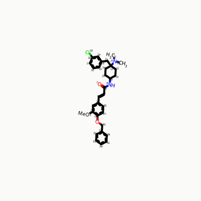 COc1cc(/C=C/C(=O)NC2CCC(Cc3cccc(Cl)c3)(N(C)C)CC2)ccc1OCc1ccccc1